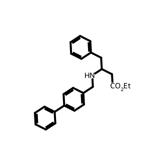 CCOC(=O)CC(Cc1ccccc1)NCc1ccc(-c2ccccc2)cc1